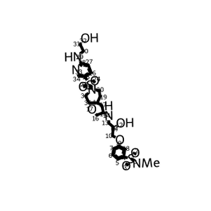 CNS(=O)(=O)c1cccc(OC[C@@H](O)CNC2COC3(CCN(S(=O)(=O)c4ccc(NCCO)nc4)CC3)C2)c1